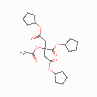 CC(=O)OC(CC(=O)OC1CCCC1)(CC(=O)OC1CCCC1)C(=O)OC1CCCC1